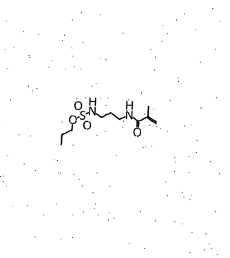 C=C(C)C(=O)NCCCNS(=O)(=O)OCCC